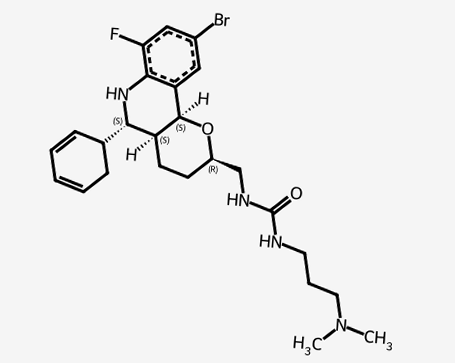 CN(C)CCCNC(=O)NC[C@H]1CC[C@@H]2[C@H](O1)c1cc(Br)cc(F)c1N[C@H]2C1C=CC=CC1